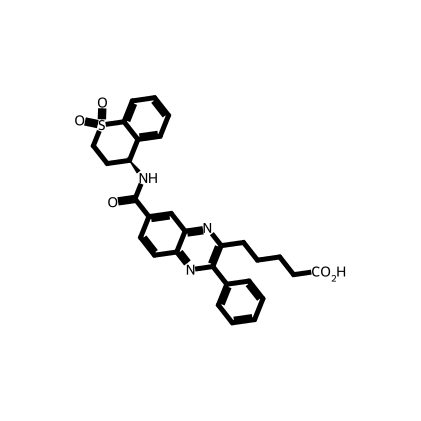 O=C(O)CCCCc1nc2cc(C(=O)N[C@H]3CCS(=O)(=O)c4ccccc43)ccc2nc1-c1ccccc1